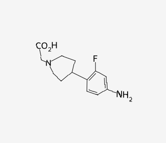 Nc1ccc(C2CCN(CC(=O)O)CC2)c(F)c1